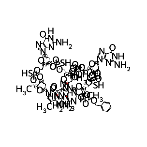 CC[C@H]1O[C@@H](n2cc(C)c(N)nc2=O)C[C@H]1OP(=O)(S)OC[C@H]1O[C@@H](n2cnc3c(=O)[nH]c(N)nc32)C[C@H]1OP(=O)(S)OC[C@]12O[C@@H](n3cnc4c(N)ncnc43)C(O[C@H]1C)[C@H]2OP(=O)(O)OC[C@]12O[C@@H](n3cnc4c(=O)[nH]c(N)nc43)C(O[C@H]1C)[C@H]2OP(=O)(S)OC[C@]12O[C@@H](n3cnc4c(=O)[nH]c(C)nc43)C(O[C@H]1C)[C@H]2OC(=O)OCc1ccccc1